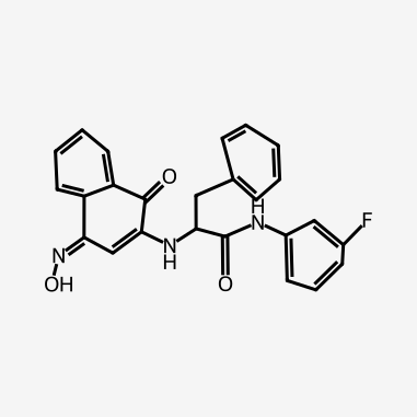 O=C1C(NC(Cc2ccccc2)C(=O)Nc2cccc(F)c2)=CC(=NO)c2ccccc21